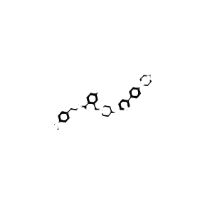 CN1CCN(c2ccc(-c3ccc(OC4CCN(C(=O)c5cc(F)ccc5C(=O)NCCc5ccc(N(C)C)cc5)CC4)nc3)cc2)CC1